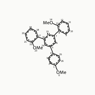 COc1ccc(-c2cc(-c3ccccc3OC)nc(-c3ccccc3OC)c2)cc1